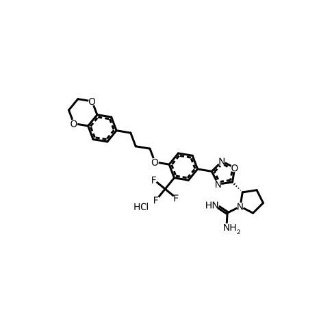 Cl.N=C(N)N1CCC[C@H]1c1nc(-c2ccc(OCCCc3ccc4c(c3)OCCO4)c(C(F)(F)F)c2)no1